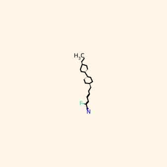 CCC[C@H]1CC[C@H]([C@H]2CC[C@H](CCC=CC=C(F)C#N)CC2)CC1